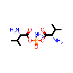 CC(C)[C@H](N)C(=O)OP(N)(=O)OC(=O)[C@@H](N)C(C)C